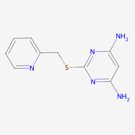 Nc1cc(N)nc(SCc2ccccn2)n1